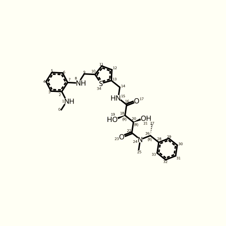 CNc1ccccc1NCc1ccc(CNC(=O)[C@H](O)[C@@H](O)C(=O)N(C)[C@H](C)c2ccccc2)s1